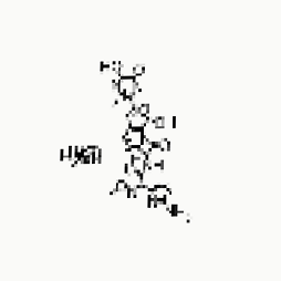 CO/N=C(\C(=O)N[C@@H]1C(=O)N2C(C(=O)O)=C(CSc3nc(=O)c(O)nn3C)CS[C@H]12)c1csc(N)n1.O.O.O.[NaH]